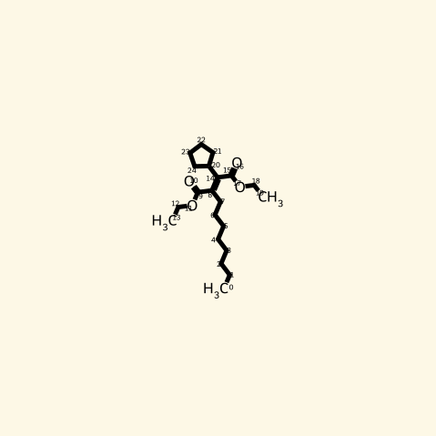 CCCCCCCCC(C(=O)OCC)=C(C(=O)OCC)C1CCCC1